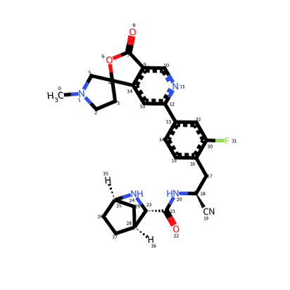 CN1CCC2(C1)OC(=O)c1cnc(-c3ccc(C[C@@H](C#N)NC(=O)[C@H]4N[C@@H]5CC[C@H]4C5)c(F)c3)cc12